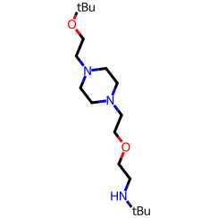 CC(C)(C)NCCOCCN1CCN(CCOC(C)(C)C)CC1